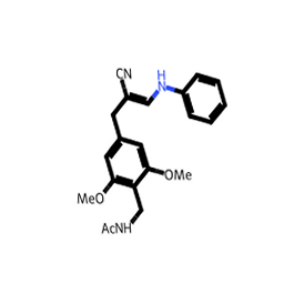 COc1cc(CC(C#N)=CNc2ccccc2)cc(OC)c1CNC(C)=O